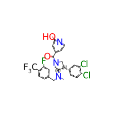 CN(Cc1ccc(C(F)(F)F)c(F)c1)[C@H]1CN(C(=O)c2ccnc(O)c2)C[C@@H]1c1ccc(Cl)c(Cl)c1